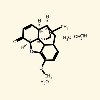 COC1=C2O[C@H]3C(=O)C=C[C@H]4[C@H]5CC(C=C1)C2[C@@]34CCN5C.Cl.O.O.O